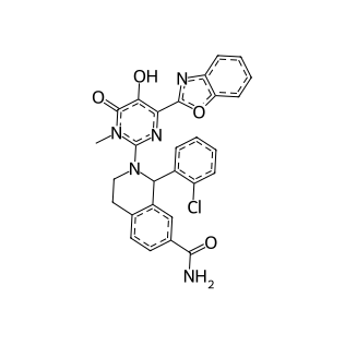 Cn1c(N2CCc3ccc(C(N)=O)cc3C2c2ccccc2Cl)nc(-c2nc3ccccc3o2)c(O)c1=O